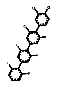 Fc1c[c]cc(F)c1-c1cc(F)c(-c2cc(Cl)c(-c3ccc(Cl)c(Cl)c3)c(Cl)c2)c(F)c1